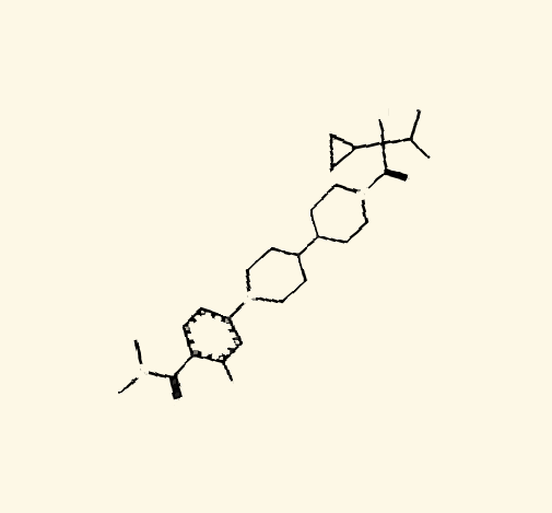 CC(C)C(O)(C(=O)N1CCC(C2CCN(c3ccc(C(=O)N(C)C)c(Cl)c3)CC2)CC1)C1CC1